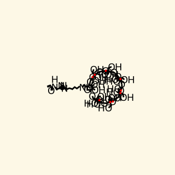 C=CC(=O)NCc1cn(CCCCCCNCC2OC3OC4C(CO)OC(OC5C(CO)OC(OC6C(CO)OC(OC7C(CO)OC(OC8C(CO)OC(OC9C(CO)OC(OC2C(O)C3O)C(O)C9O)C(O)C8O)C(O)C7O)C(O)C6O)C(O)C5O)C(O)C4O)nn1